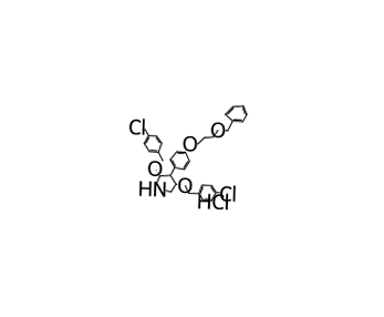 Cl.Clc1ccc(CO[C@H]2CNC[C@@H](OCc3ccc(Cl)cc3)C2c2ccc(OCCCOCc3ccccc3)cc2)cc1